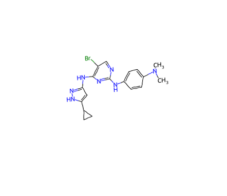 CN(C)c1ccc(Nc2ncc(Br)c(Nc3cc(C4CC4)[nH]n3)n2)cc1